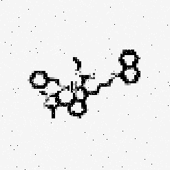 CCOC(=O)c1[nH]c2c(-c3c(C)nn(C)c3NCc3ccccc3)cccc2c1CCCOc1cccc2ccccc12